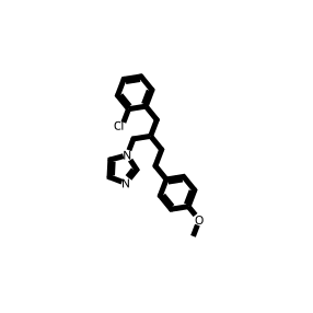 COc1ccc(CCC(Cc2ccccc2Cl)Cn2ccnc2)cc1